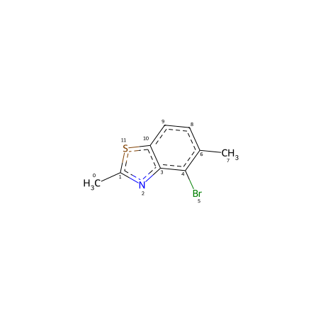 Cc1nc2c(Br)c(C)ccc2s1